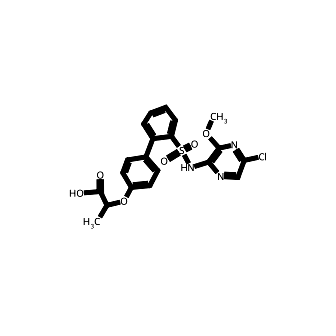 COc1nc(Cl)cnc1NS(=O)(=O)c1ccccc1-c1ccc(OC(C)C(=O)O)cc1